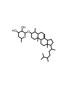 CC1CC(O)C(O)C(OC2CCC3(C)C4CCC5(C)C(CCC5C(C)CCC(C)C(C)C)C4=CCC3C2C)O1